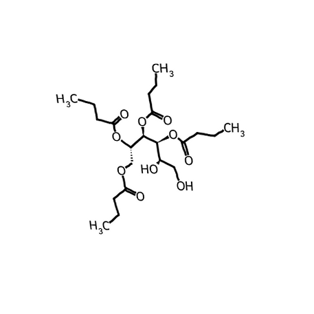 CCCC(=O)OC[C@H](OC(=O)CCC)[C@@H](OC(=O)CCC)[C@@H](OC(=O)CCC)[C@H](O)CO